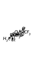 CCCCC[N+](C)(C)CC.O=S(=O)([N-]S(=O)(=O)C(F)(F)F)C(F)(F)F